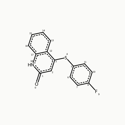 O=c1cc(Sc2ccc(F)cc2)c2ccccc2[nH]1